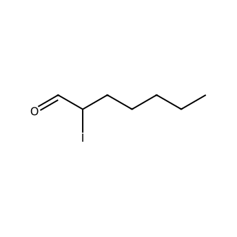 CCCCCC(I)C=O